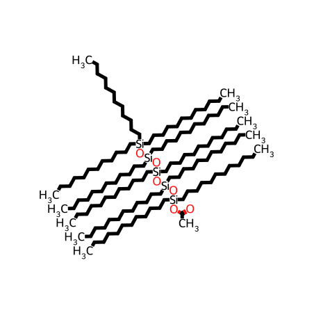 CCCCCCCCCCCC[Si](CCCCCCCCCCCC)(CCCCCCCCCCCC)O[Si](CCCCCCCCCCCC)(CCCCCCCCCCCC)O[Si](CCCCCCCCCCCC)(CCCCCCCCCCCC)O[Si](CCCCCCCCCCCC)(CCCCCCCCCCCC)O[Si](CCCCCCCCCCCC)(CCCCCCCCCCCC)OC(C)=O